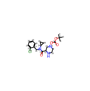 CC(C)(C)OC(=O)ON1CCNC(C(=O)N(Cc2ccccc2Cl)C2CC2)C1